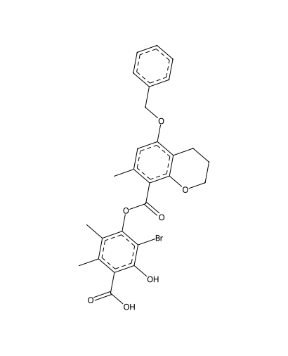 Cc1cc(OCc2ccccc2)c2c(c1C(=O)Oc1c(C)c(C)c(C(=O)O)c(O)c1Br)OCCC2